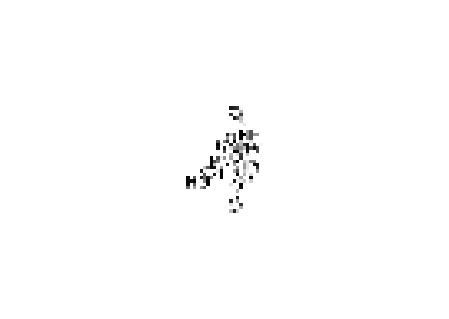 CC(C)[C@H](NCCc1ccccc1)C(=O)NC(=O)[C@H](Cc1ccc(O)cc1)NC(=O)[C@@H](NC(=O)OCc1ccccc1)C(C)C